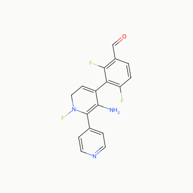 NC1=C(c2ccncc2)N(F)CC=C1c1c(F)ccc(C=O)c1F